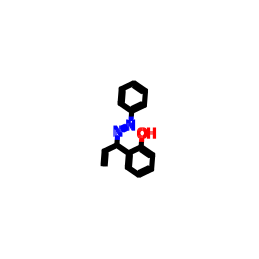 C=CC(/N=N/c1ccccc1)c1ccccc1O